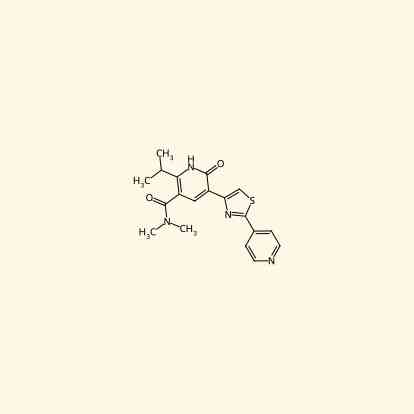 CC(C)c1[nH]c(=O)c(-c2csc(-c3ccncc3)n2)cc1C(=O)N(C)C